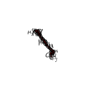 CN1Cc2c(Cl)cc(Cl)cc2[C@H](c2cccc(S(=O)(=O)NCCOCCOCCOCCNC(=O)[C@@H](O)[C@H](O)C(=O)NCCOCCOCCOCCNS(=O)(=O)C3CCCC([C@@H]4CN(C)Cc5c(Cl)cc(Cl)cc54)C3)c2)C1